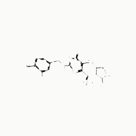 N=Cc1nc(NCc2ccc(Cl)c(Cl)c2)[nH]c(=O)c1NC1CNC(C=O)C1